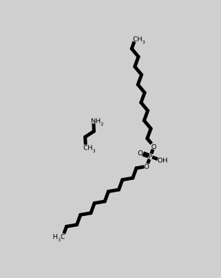 CCCCCCCCCCCCOP(=O)(O)OCCCCCCCCCCCC.CCCN